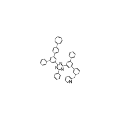 C1=CCC=C(c2ccc(-c3cc(-c4ccccc4)cc(-c4nc(-c5ccccc5)nc(-c5cc(C6=CC(Cc7ccccn7)CC=C6)cc(-c6ccccc6)c5)n4)c3)cc2)C=C1